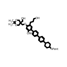 CCCCCC1CCC(c2ccc(-c3ccc(-c4cc(CCCO)c(OCC5(CO)COC(C)(C)OC5)cc4OC)cc3)cc2)CC1